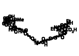 CC/N=c1/cc2oc3cc(NCC)c(C)cc3c(-c3cc(C(=O)NCCOCCOCCNC(=O)OCCC(C)(C)SSCOCCCCOC(=O)NCC#Cc4cn(CC[C@@H](COP(=O)(O)OP(=O)(O)OP(=O)(O)O)OC)c(=O)[nH]c4=O)ccc3C(=O)O)c-2cc1C